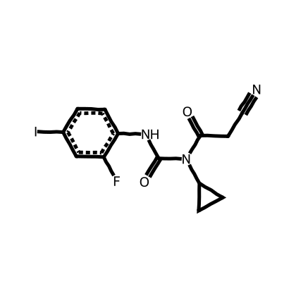 N#CCC(=O)N(C(=O)Nc1ccc(I)cc1F)C1CC1